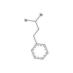 BrC(Br)CCc1ccccc1